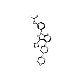 FC(F)Oc1cccc(-n2nc(C3CCC3)c3c(N4CCC(N5CCOCC5)CC4)ccnc32)c1